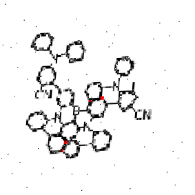 Cc1cc(C#N)cc(-c2ccc3c(c2)N(c2ccccc2-c2ccccc2)c2cccc4c2B3c2ccc(-c3cc(N(c5ccccc5)c5ccccc5)ccc3C#N)cc2N4c2ccccc2-c2ccccc2)c1N(c1ccccc1)c1ccccc1